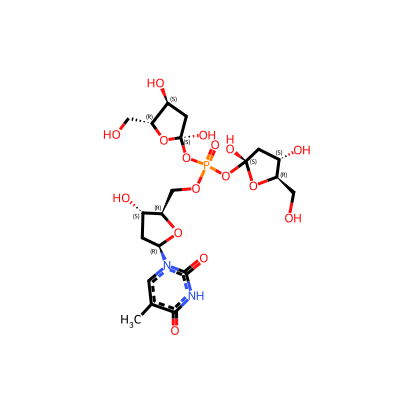 Cc1cn([C@H]2C[C@H](O)[C@@H](COP(=O)(O[C@]3(O)C[C@H](O)[C@@H](CO)O3)O[C@]3(O)C[C@H](O)[C@@H](CO)O3)O2)c(=O)[nH]c1=O